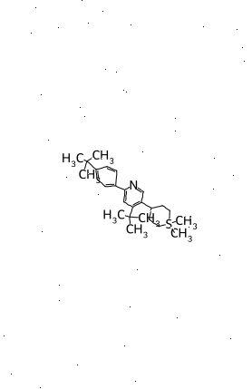 CC(C)(C)c1ccc(-c2cc(C(C)(C)C)c(C3CCS(C)(C)CC3)cn2)cc1